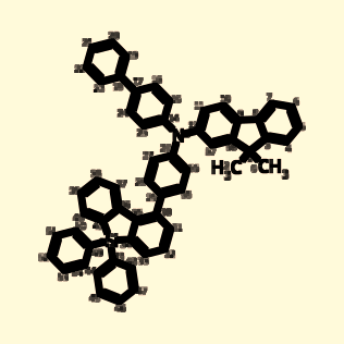 CC1(C)c2ccccc2-c2ccc(N(c3ccc(-c4ccccc4)cc3)c3ccc(-c4cccc5c4-c4ccccc4[Si]5(c4ccccc4)c4ccccc4)cc3)cc21